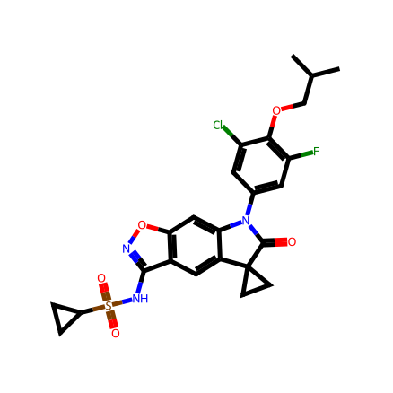 CC(C)COc1c(F)cc(N2C(=O)C3(CC3)c3cc4c(NS(=O)(=O)C5CC5)noc4cc32)cc1Cl